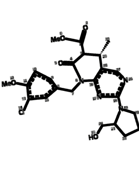 COC(=O)C1C(=O)N(Cc2ccc(OC)c(Cl)c2)c2nc(N3CCCC3CO)ncc2[C@H]1C